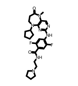 CN1C(=O)CCN(C2CCCC2)c2nc(Nc3cc(F)c(C(=O)NCCN4CCCC4)cc3F)ncc21